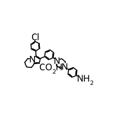 Nc1ccc(N2CCN(c3cccc(-c4c(C(=O)O)c5n(c4-c4ccc(Cl)cc4)CCCC5)c3)CC2)cc1